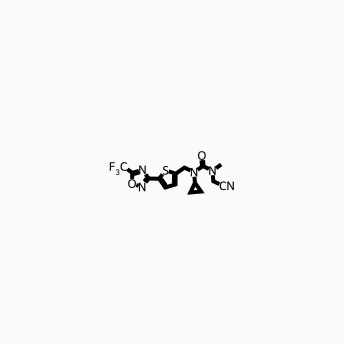 CN(CC#N)C(=O)N(Cc1ccc(-c2noc(C(F)(F)F)n2)s1)C1CC1